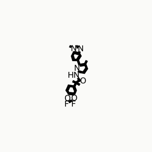 Cc1ccc(NC(=O)C(C)(C)c2ccc3c(c2)OC(F)(F)O3)nc1-c1ccc2c(c1)ncn2C